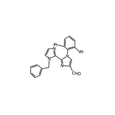 CC(C)c1cccc(C(C)C)c1-n1cc(C=O)nc1-c1nccn1Cc1ccccc1